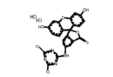 Cl.Cl.O=C1OC2(c3ccc(O)cc3Oc3cc(O)ccc32)c2ccc(Nc3nc(Cl)nc(Cl)n3)cc21